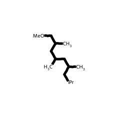 COCC(C)CC(C)CC(C)CC(C)C